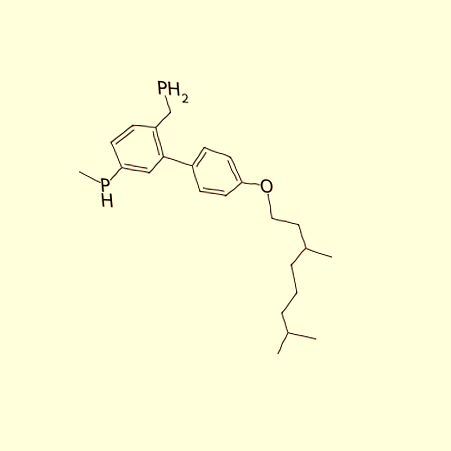 CPc1ccc(CP)c(-c2ccc(OCCC(C)CCCC(C)C)cc2)c1